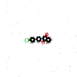 O=C1[C]=C([C@H]2CC[C@H](c3ccc(Cl)cc3)CC2)C(=O)c2ccccc21